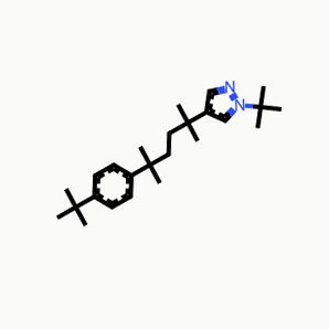 CC(C)(C)c1ccc(C(C)(C)CCC(C)(C)c2cnn(C(C)(C)C)c2)cc1